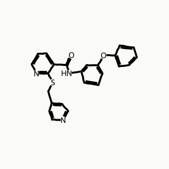 O=C(Nc1cccc(Oc2ccccc2)c1)c1cccnc1SCc1ccncc1